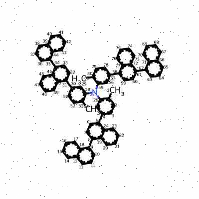 Cc1ccc(-c2ccc(-c3cccc4ccccc34)c3ccccc23)cc1N(c1cc(-c2ccc(-c3cccc4ccccc34)c3ccccc23)ccc1C)c1cc(-c2ccc(-c3cccc4ccccc34)c3ccccc23)ccc1C